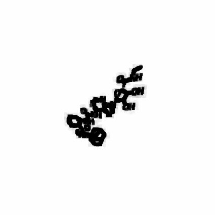 CCNC(=O)[C@H]1O[C@@H](n2cnc3c(NC(=O)Nc4ccccc4S(=O)(=O)NC45CC6CC(CC(C6)C4)C5)ncnc32)C(O)C1O